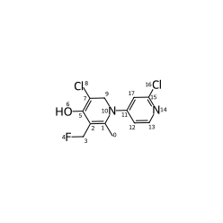 CC1=C(CF)C(O)=C(Cl)CN1c1ccnc(Cl)c1